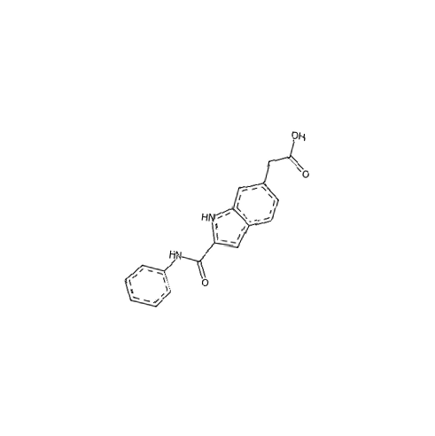 O=C(O)Cc1ccc2cc(C(=O)Nc3ccccc3)[nH]c2c1